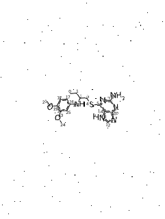 CCC(CSc1nc(N)nc2nc[nH]c12)Nc1ccc(OC)c(OC)c1